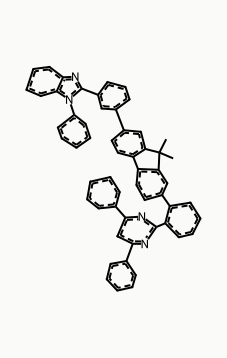 CC1(C)c2cc(-c3cccc(-c4nc5ccccc5n4-c4ccccc4)c3)ccc2-c2ccc(-c3ccccc3-c3nc(-c4ccccc4)cc(-c4ccccc4)n3)cc21